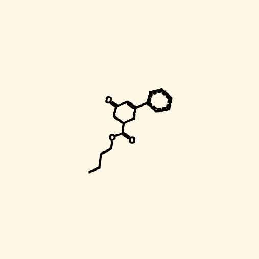 CCCCOC(=O)C1CC(=O)C=C(c2ccccc2)C1